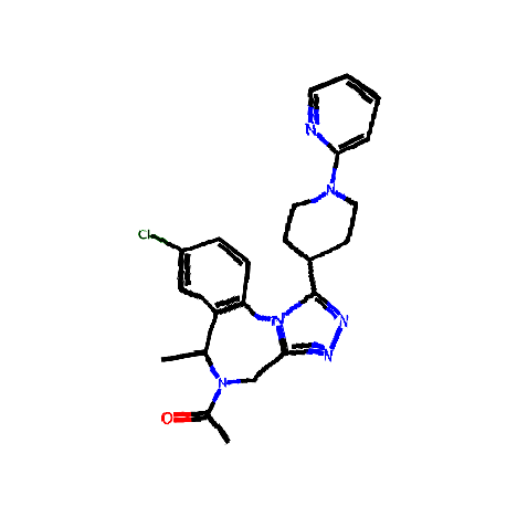 CC(=O)N1Cc2nnc(C3CCN(c4ccccn4)CC3)n2-c2ccc(Cl)cc2C1C